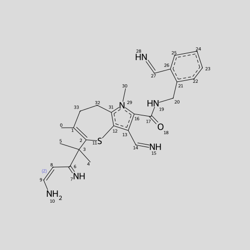 CC1=C(C(C)(C)C(=N)/C=C\N)Sc2c(C=N)c(C(=O)NCc3ccccc3C=N)n(C)c2CC1